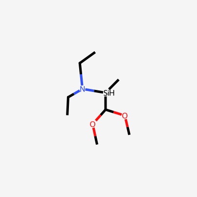 CCN(CC)[SiH](C)C(OC)OC